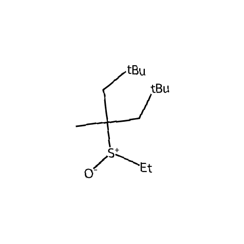 CC[S+]([O-])C(C)(CC(C)(C)C)CC(C)(C)C